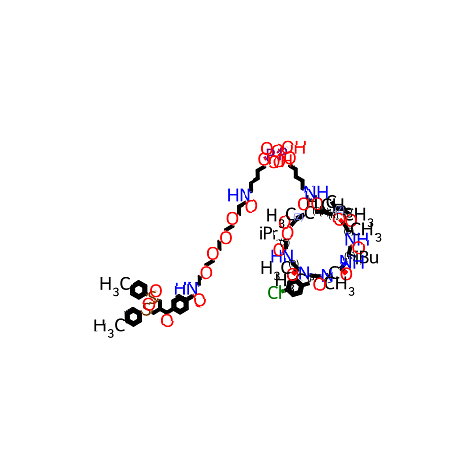 C/C=C(/C)[C@@H]1OC(=O)[C@H](C)NC(=O)[C@@H](C(C)CC)NC(=O)CN(C)C(=O)[C@H](Cc2ccc(Cl)cc2)N(C)C(=O)[C@@H](C)NC(=O)[C@H](CC(C)C)OC(=O)/C(C)=C\C[C@H](OC(=O)NCCCCCOP(=O)(O)OP(=O)(O)OCCCCCNC(=O)CCOCCOCCOCCOCCNC(=O)c2ccc(C(=O)C(CSc3ccc(C)cc3)CS(=O)(=O)c3ccc(C)cc3)cc2)[C@H]1C